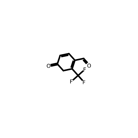 O=CC1=C(C(F)(F)F)CC(=O)C=C1